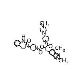 Cc1cc(C[C@@H](OC(=O)N2CCC(N3CCc4ccccc4NC3=O)CC2)C(=O)N2CCC(N3CCN(C)CC3)CC2)cc2cn(C)nc12